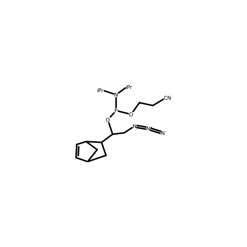 CC(C)N(C(C)C)P(OCCC#N)OC(CN=[N+]=[N-])C1CC2C=CC1C2